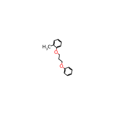 Cc1ccccc1OCCCOc1ccccc1